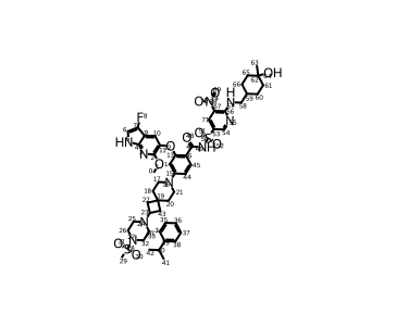 COc1nc2[nH]cc(F)c2cc1Oc1cc(N2CCC3(CC2)CC(N2CCN(S(C)(=O)=O)C[C@H]2c2ccccc2C(C)C)C3)ccc1C(=O)NS(=O)(=O)c1cnc(NCC2CCC(C)(O)CC2)c([N+](=O)[O-])c1